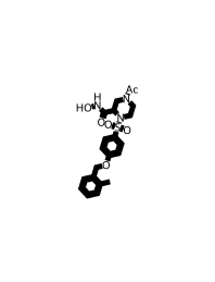 CC(=O)N1CCN(S(=O)(=O)c2ccc(OCc3ccccc3C)cc2)C(C(=O)NO)C1